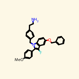 COc1ccc(-c2c(F)c3cc(OCc4ccccc4)ccc3n2Cc2ccc(CCN)cc2)cc1